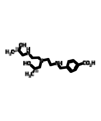 C[C@H](O)CNCCN(CCNCc1ccc(C(=O)O)cc1)C[C@H](C)O